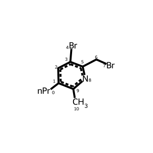 CCCc1cc(Br)c(CBr)nc1C